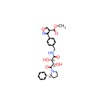 COC(=O)c1conc1-c1ccc(CNC(=O)[C@H](O)[C@@H](O)C(=O)N2CCC[C@@H]2c2ccccc2)cc1